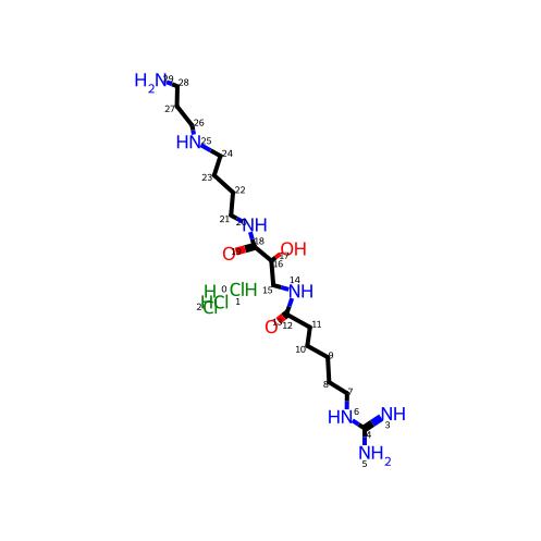 Cl.Cl.Cl.N=C(N)NCCCCCC(=O)NCC(O)C(=O)NCCCCNCCCN